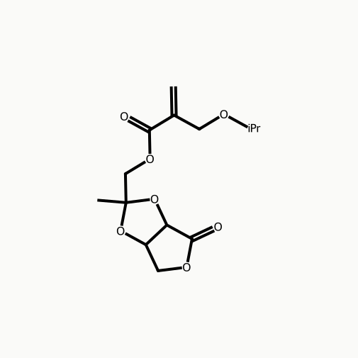 C=C(COC(C)C)C(=O)OCC1(C)OC2COC(=O)C2O1